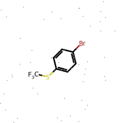 FC(F)(F)Sc1[c]cc(Br)cc1